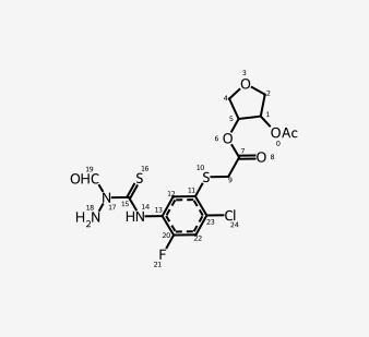 CC(=O)OC1COCC1OC(=O)CSc1cc(NC(=S)N(N)C=O)c(F)cc1Cl